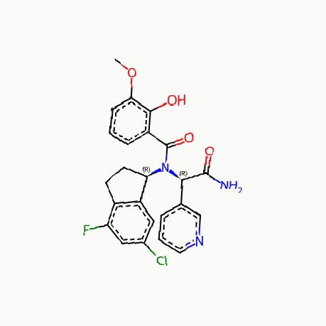 COc1cccc(C(=O)N([C@@H]2CCc3c(F)cc(Cl)cc32)[C@@H](C(N)=O)c2cccnc2)c1O